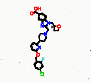 O=C(O)c1ccc2c(c1)nc(CN1CCC(c3cccc(OCc4ccc(Cl)cc4F)n3)CC1)n2C[C@@H]1CCO1